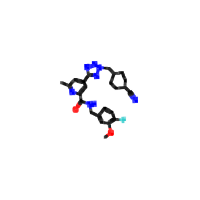 COc1cc(CNC(=O)c2cc(-c3nnn(CC4CCC(C#N)CC4)n3)cc(C)n2)ccc1F